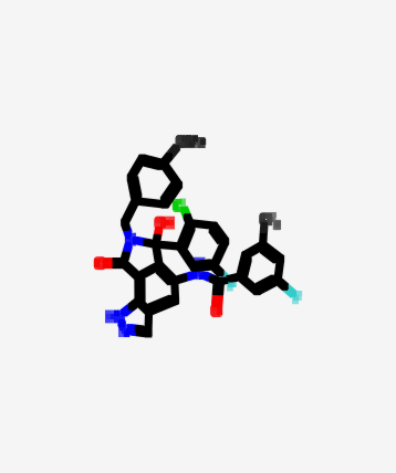 COc1ccc(CN2C(=O)c3c(c(NC(=O)c4cc(F)cc(C(F)(F)F)c4)cc4cn[nH]c34)C2(O)c2cc(F)ccc2Cl)cc1